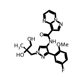 COc1ccc(F)cc1-c1nn(C[C@](C)(O)CO)cc1NC(=O)c1cnn2cccnc12